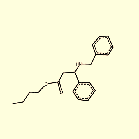 CCCCOC(=O)CC(NCc1ccccc1)c1ccccc1